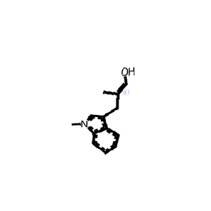 C/C(=C\O)Cc1cn(C)c2ccccc12